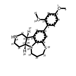 COc1ccc(-c2cc3c4c(c2)[C@H]2CNCC[C@H]2N4CCCS3)c(OC)c1